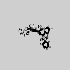 C[Si](C)(C)C#Cc1cc(S(=O)(=O)c2ccccc2)c2n(c1=O)CCC2